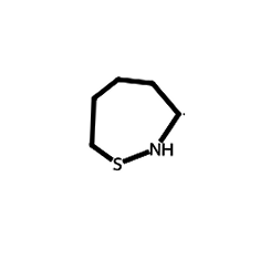 [CH]1CCCCSN1